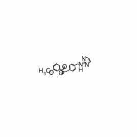 COc1cccc(S(=O)(=O)Cc2ccc(CNc3ncccn3)cc2)c1